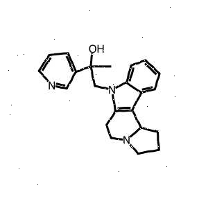 CC(O)(Cn1c2c(c3ccccc31)C1CCCN1CC2)c1cccnc1